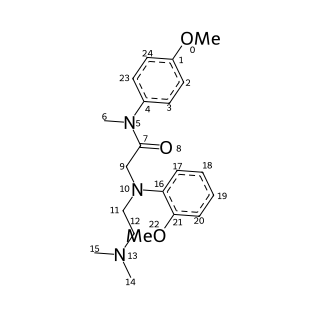 COc1ccc(N(C)C(=O)CN(CCN(C)C)c2ccccc2OC)cc1